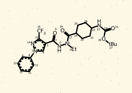 CCN(NC(=O)c1cn(-c2ccccc2)nc1C(F)(F)F)C(=O)C1CCC(NC(=O)OC(C)(C)C)CC1